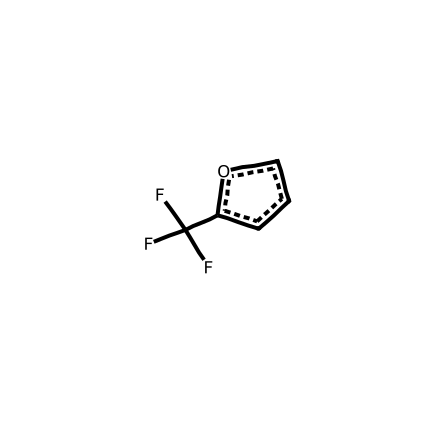 FC(F)(F)c1ccco1